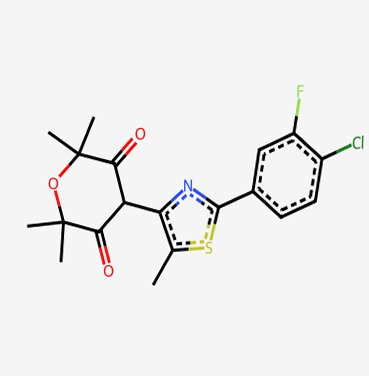 Cc1sc(-c2ccc(Cl)c(F)c2)nc1C1C(=O)C(C)(C)OC(C)(C)C1=O